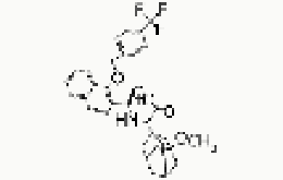 COC12CC3CC(C1)CC(C(NC(=O)c1ccc4ccccc4c1OCc1ccc(C(F)(F)F)cc1)C(=O)O)(C3)C2